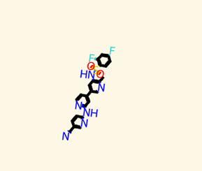 Cc1ncc(-c2ccnc(Nc3ccc(C#N)cn3)c2)cc1NS(=O)(=O)c1ccc(F)cc1F